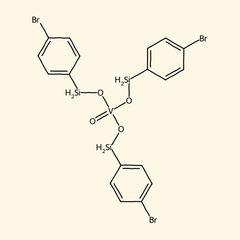 [O]=[V]([O][SiH2]c1ccc(Br)cc1)([O][SiH2]c1ccc(Br)cc1)[O][SiH2]c1ccc(Br)cc1